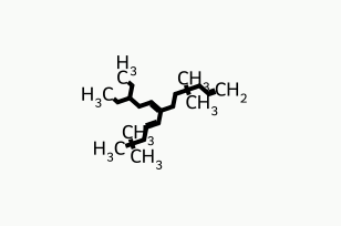 C=CCC(C)(C)CCC(C=CCC(C)(C)C)=CCC(CC)CC